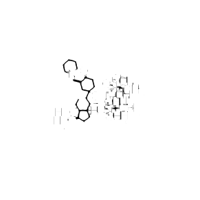 C=C1CC[C@H]2[C@H](CO[Si](C)(C)C(C)(C)C)[C@@H]([C@@]3(C)CC(=CN4CCCCC4)C(=O)C[C@@H]3CO[Si](C)(C)C(C)(C)C)CC[C@]12C